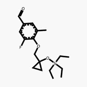 CC[Si](CC)(CC)OC1(COc2c(C)cc(C=O)cc2F)CC1